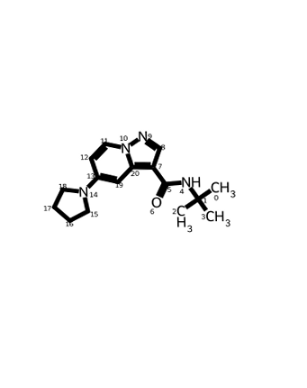 CC(C)(C)NC(=O)c1cnn2ccc(N3CCCC3)cc12